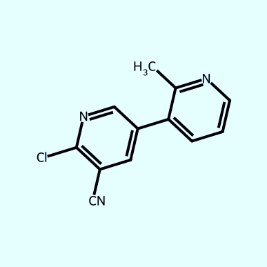 Cc1ncccc1-c1cnc(Cl)c(C#N)c1